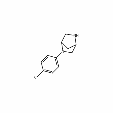 Clc1ccc(N2CC3CC2CN3)cc1